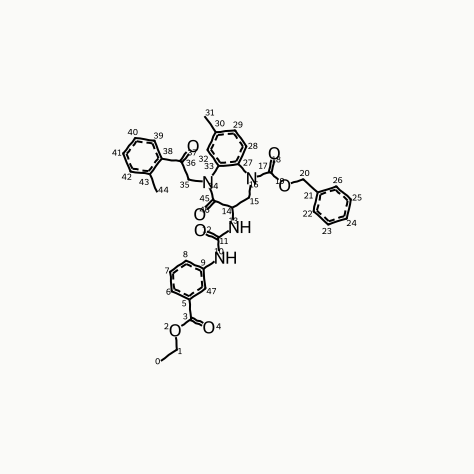 CCOC(=O)c1cccc(NC(=O)NC2CN(C(=O)OCc3ccccc3)c3ccc(C)cc3N(CC(=O)c3ccccc3C)C2=O)c1